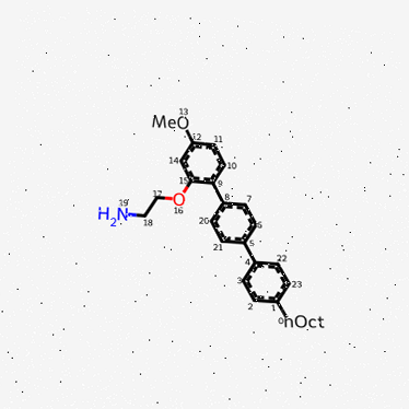 CCCCCCCCc1ccc(-c2ccc(-c3ccc(OC)cc3OCCN)cc2)cc1